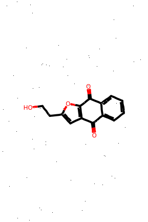 O=C1c2ccccc2C(=O)c2oc(CCO)cc21